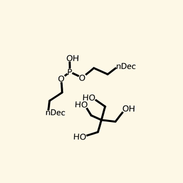 CCCCCCCCCCCCOP(O)OCCCCCCCCCCCC.OCC(CO)(CO)CO